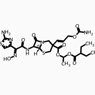 CCC(CC)C(=O)OC(C)OC(=O)C1(C=CCOC(N)=O)CS[C@@H]2C(NC(=O)C(=NO)c3csc(N)n3)C(=O)N2C1